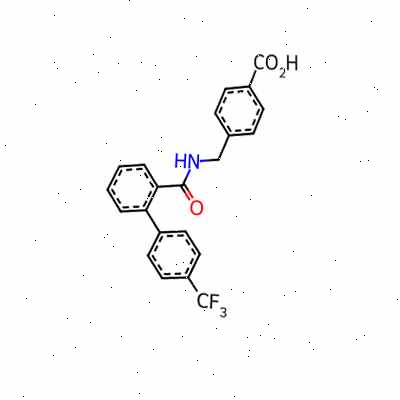 O=C(O)c1ccc(CNC(=O)c2ccccc2-c2ccc(C(F)(F)F)cc2)cc1